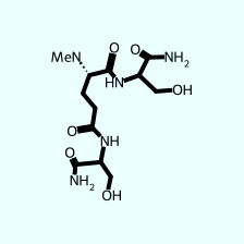 CN[C@@H](CCC(=O)NC(CO)C(N)=O)C(=O)NC(CO)C(N)=O